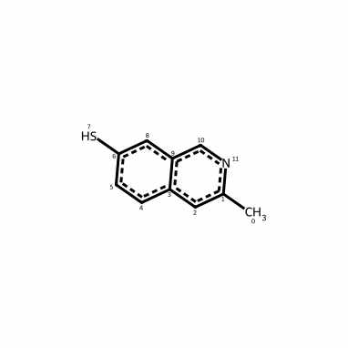 Cc1cc2ccc(S)cc2cn1